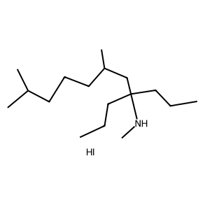 CCCC(CCC)(CC(C)CCCC(C)C)NC.I